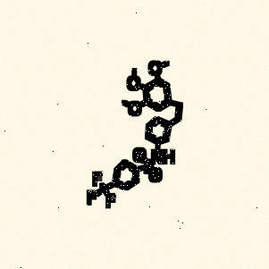 COc1cc(/C=C\c2cccc(NS(=O)(=O)c3ccc(C(F)(F)F)cc3)c2)cc(OC)c1OC